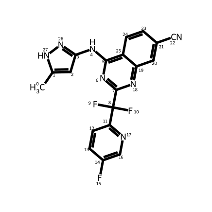 Cc1cc(Nc2nc(C(F)(F)c3ccc(F)cn3)nc3cc(C#N)ccc23)n[nH]1